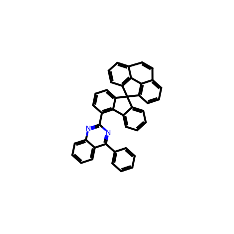 c1ccc(-c2nc(-c3cccc4c3-c3ccccc3C43c4cccc5ccc6cccc3c6c45)nc3ccccc23)cc1